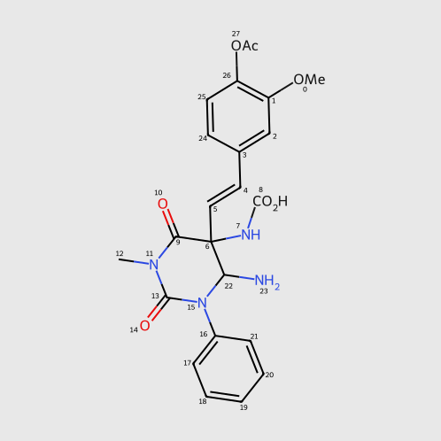 COc1cc(C=CC2(NC(=O)O)C(=O)N(C)C(=O)N(c3ccccc3)C2N)ccc1OC(C)=O